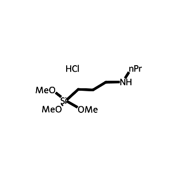 CCCNCCC[Si](OC)(OC)OC.Cl